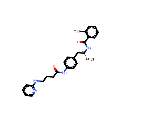 CSc1ccccc1C(=O)N[C@@H](Cc1ccc(NC(=O)CCCNc2ccccn2)cc1)C(=O)O